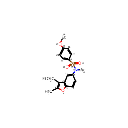 CCOC(=O)c1c(C)oc2ccc(N(C(C)=O)S(=O)(=O)c3ccc(OCC)cc3)cc12